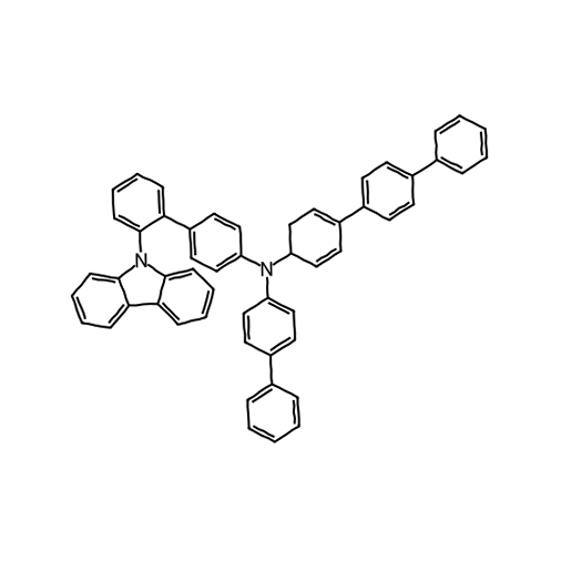 C1=CC(N(c2ccc(-c3ccccc3)cc2)c2ccc(-c3ccccc3-n3c4ccccc4c4ccccc43)cc2)CC=C1c1ccc(-c2ccccc2)cc1